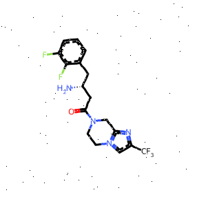 N[C@@H](CC(=O)N1CCn2cc(C(F)(F)F)nc2C1)Cc1cccc(F)c1F